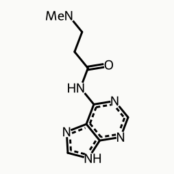 CNCCC(=O)Nc1ncnc2[nH]cnc12